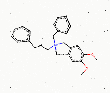 COc1cc2c(cc1OC)C[N+](CCCc1ccccc1)(Cc1ccccc1)C2